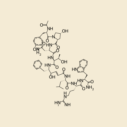 CNC(=N)NCCC[C@H](NC(=O)[C@H](CC(C)C)NC(=O)/C=C/[C@@H](O)[C@H](Cc1ccccc1)NC(=O)[C@@H](NC(=O)[C@H](CC(N)=O)NC(=O)[C@@H]1C[C@@H](O)CN1C(=O)[C@@H](Cc1ccc(O)cc1)NC(C)=O)[C@@H](C)O)C(=O)N[C@@H](Cc1c[nH]c2ccccc12)C(N)=O